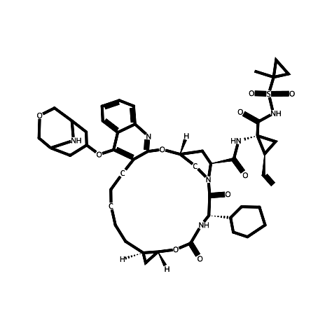 C=C[C@@H]1C[C@]1(NC(=O)[C@@H]1C[C@@H]2CN1C(=O)[C@H](C1CCCCC1)NC(=O)O[C@@H]1C[C@H]1CCCCCc1c(nc3ccccc3c1OC1CC3COCC(C1)N3)O2)C(=O)NS(=O)(=O)C1(C)CC1